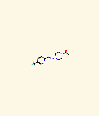 CC(=O)N1CCN(/N=C/c2ccc(C(F)(F)F)cn2)CC1